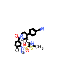 Cc1nc(C)c(S(=O)(=O)Nc2cc(C(=O)N3CCC(c4ccc(C#N)cc4)CC3)ccc2C)s1